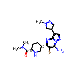 CN1CC(c2cnn3c(N)c(Br)c([C@H]4CC[C@@H](C(=O)N(C)C)NC4)nc23)C=N1